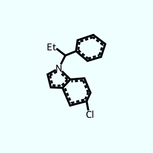 [CH2]CC(c1ccccc1)n1ccc2cc(Cl)ccc21